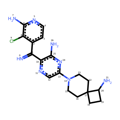 N=C(c1ccnc(N)c1Cl)c1ncc(N2CCC3(CCC3N)CC2)nc1N